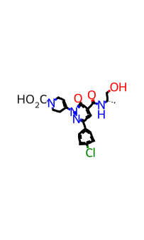 C[C@@H](CO)NC(=O)c1cc(-c2ccc(Cl)cc2)nn(C2=CCN(C(=O)O)CC2)c1=O